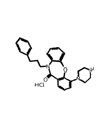 Cl.O=C1c2cccc(N3CCNCC3)c2Oc2ccccc2N1CCCc1ccccc1